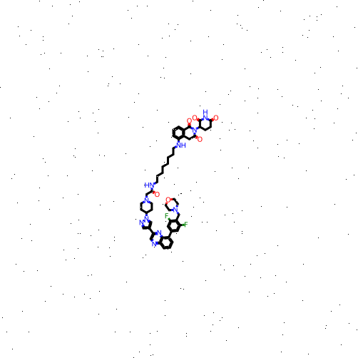 O=C(CN1CCC(n2cc(-c3cnc4cccc(-c5cc(F)c(CN6CCOCC6)c(F)c5)c4n3)cn2)CC1)NCCCCCCCCNc1cccc2c1CC(=O)N(C1CCC(=O)NC1=O)C2=O